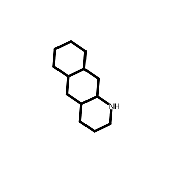 C1CCC2CC3NCCCC3CC2C1